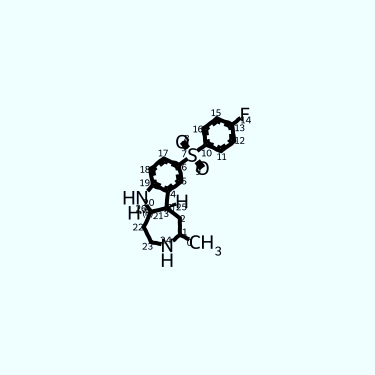 CC1C[C@H]2c3cc(S(=O)(=O)c4ccc(F)cc4)ccc3N[C@@H]2CCN1